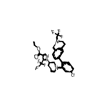 CCOC(=O)c1cnn(C2CCCN(c3cc(Cl)ccc3-c3ccc4c(c3)CCN(CC(F)(F)F)C4)C2)c1C(F)(F)F